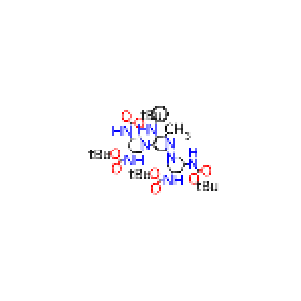 Cc1nc(N2CC(NC(=O)OC(C)(C)C)CC(NC(=O)OC(C)(C)C)C2)cc(N2CC(NC(=O)OC(C)(C)C)CC(NC(=O)OC(C)(C)C)C2)c1Nc1ccccc1